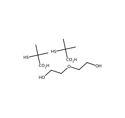 CC(C)(S)C(=O)O.CC(C)(S)C(=O)O.OCCOCCO